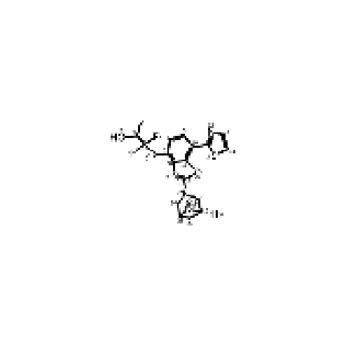 CC(O)C(F)(F)Oc1ccc(-c2nccs2)c2oc(N3CC4C[C@H](C3)N4O)nc12